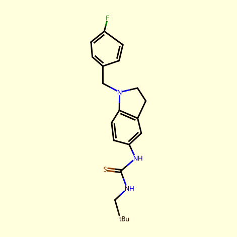 CC(C)(C)CNC(=S)Nc1ccc2c(c1)CCN2Cc1ccc(F)cc1